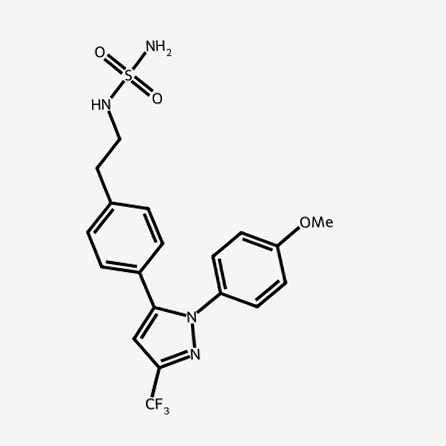 COc1ccc(-n2nc(C(F)(F)F)cc2-c2ccc(CCNS(N)(=O)=O)cc2)cc1